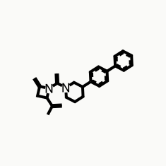 C=C(C)C1CC(=C)N1C(=C)N1CCCC(c2ccc(-c3ccccc3)cc2)C1